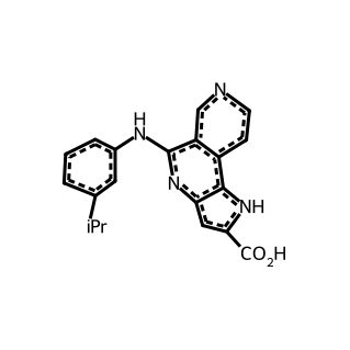 CC(C)c1cccc(Nc2nc3cc(C(=O)O)[nH]c3c3ccncc23)c1